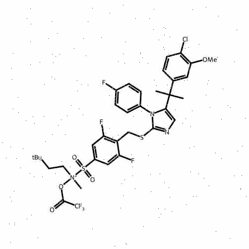 COc1cc(C(C)(C)c2cnc(SCc3c(F)cc(S(=O)(=O)[N+](C)(CCC(C)(C)C)OC(=O)C(F)(F)F)cc3F)n2-c2ccc(F)cc2)ccc1Cl